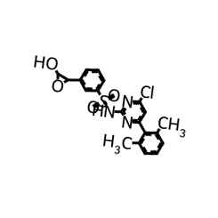 Cc1cccc(C)c1-c1cc(Cl)nc(NS(=O)(=O)c2cccc(C3OC3O)c2)n1